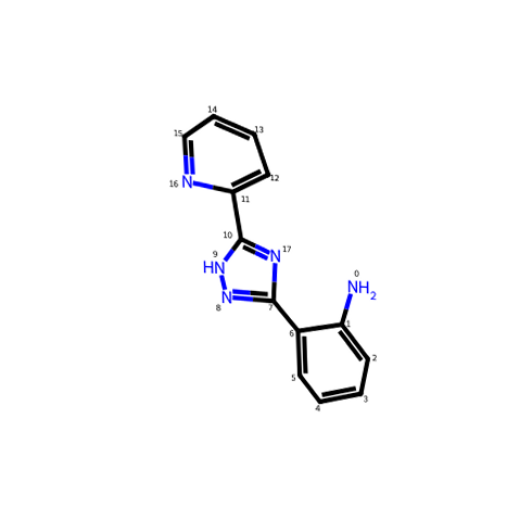 Nc1ccccc1-c1n[nH]c(-c2ccccn2)n1